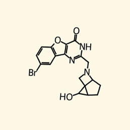 O=c1[nH]c(CN2CC34C(O)C3CCC24)nc2c1oc1ccc(Br)cc12